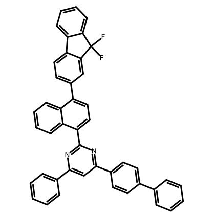 FC1(F)c2ccccc2-c2ccc(-c3ccc(-c4nc(-c5ccccc5)cc(-c5ccc(-c6ccccc6)cc5)n4)c4ccccc34)cc21